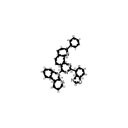 c1ccc(-c2ccc3ccc4c(-n5c6ccccc6c6cccnc65)nc(-c5cccc6ocnc56)nc4c3n2)cc1